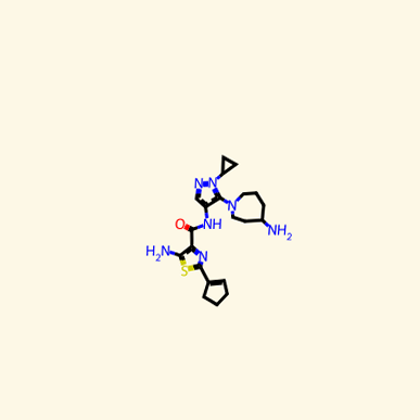 Nc1sc(C2=CCCC2)nc1C(=O)Nc1cnn(C2CC2)c1N1CCCC(N)CC1